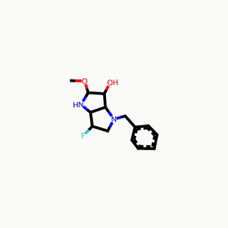 COC1NC2C(F)CN(Cc3ccccc3)C2C1O